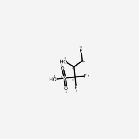 O=S(=O)(O)C(F)(F)C(O)CF